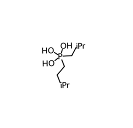 CC(C)CCP(O)(O)(O)CC(C)C